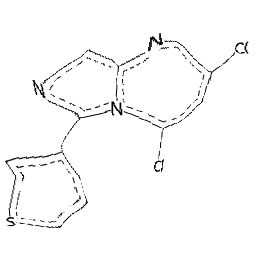 Clc1cc(Cl)n2c(-c3ccsc3)ncc2n1